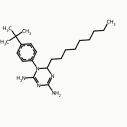 CCCCCCCCCC1N=C(N)N=C(N)N1c1ccc(C(C)(C)C)cc1